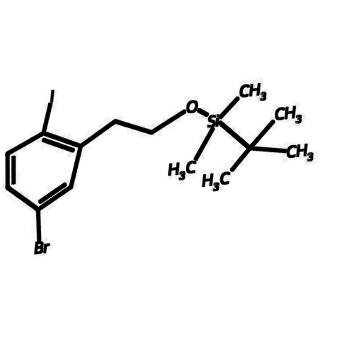 CC(C)(C)[Si](C)(C)OCCc1cc(Br)ccc1I